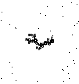 Cc1oc(-c2ccc(NC(=O)c3cccc(F)c3)cc2)nc1CCOc1ccc(CCC(=O)O)c(CNC(=O)OC(C)C)c1